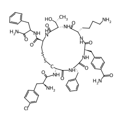 C[C@@H](O)[C@@H]1NC(=O)[C@H](CCCCN)NC(=O)[C@@H](Cc2ccc(C(N)=O)cc2)NC(=O)[C@H](Cc2ccccc2)NC(=O)[C@H](NC(=O)[C@@H](N)Cc2ccc(Cl)cc2)CSSC[C@@H](C(=O)NC(Cc2ccccc2)C(N)=O)NC1=O